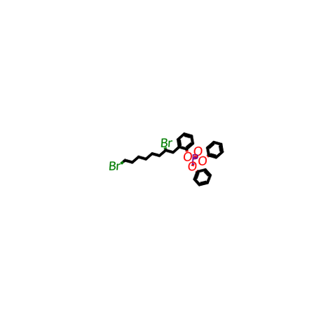 O=P(Oc1ccccc1)(Oc1ccccc1)Oc1ccccc1CC(Br)CCCCCCBr